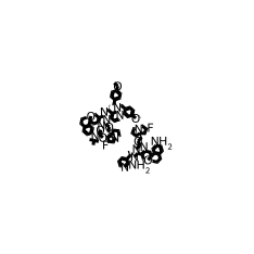 COc1ccc(CN(Cc2ccc(OC)cc2)c2ncccc2[C@@H](C)N(C)c2nc(OC[C@@]34CCCN3C[C@H](F)C4)nc3c2CO[C@@]2(CCCc4ccc(N(C(=O)O)C(C)(C)C)cc42)C3)cc1.C[C@H](c1cccnc1N)N(C)c1nc(OC[C@@]23CCCN2C[C@H](F)C3)nc2c1CO[C@@]1(CCCc3ccc(N)cc31)C2